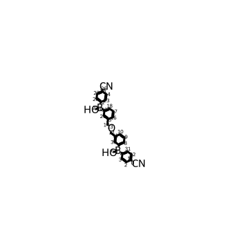 N#Cc1ccc(B(O)c2cccc(COCc3cccc(B(O)c4ccc(C#N)cc4)c3)c2)cc1